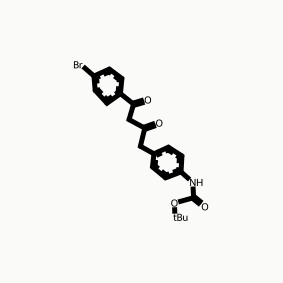 CC(C)(C)OC(=O)Nc1ccc(CC(=O)CC(=O)c2ccc(Br)cc2)cc1